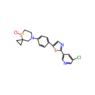 [O-][S+]1CCN(c2ccc(-c3cnc(-c4cncc(Cl)c4)s3)cc2)CC12CC2